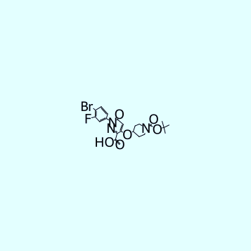 CC(C)(C)OC(=O)N1CCC(Oc2cc(=O)n(-c3ccc(Br)c(F)c3)nc2C(=O)O)CC1